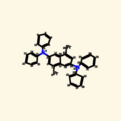 CC(C)c1cc(N(c2ccccc2)c2ccccc2)cc2c(C(C)C)cc(N(c3ccccc3)c3ccccc3)cc12